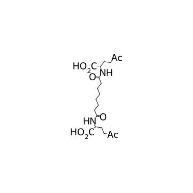 CC(=O)CC[C@H](NC(=O)CCCCCCC(=O)N[C@@H](CCC(C)=O)C(=O)O)C(=O)O